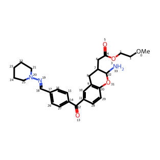 COCCOC(=O)CC1Cc2cc(C(=O)c3ccc(C=NN4CCCCC4)cc3)ccc2OC1N